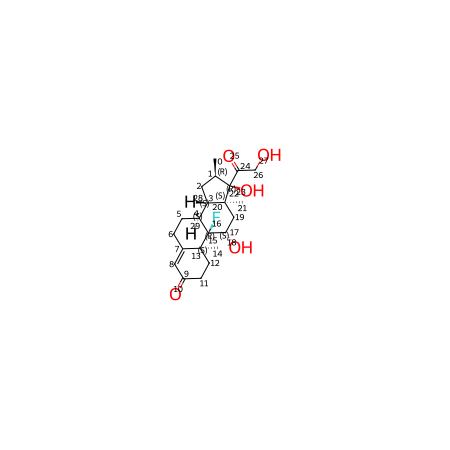 C[C@@H]1C[C@H]2[C@@H]3CCC4=CC(=O)CC[C@]4(C)[C@@]3(F)[C@@H](O)C[C@]2(C)[C@@]1(O)C(=O)CO